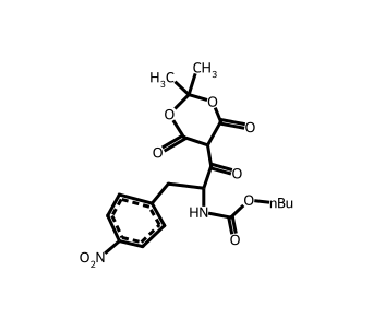 CCCCOC(=O)NC(Cc1ccc([N+](=O)[O-])cc1)C(=O)C1C(=O)OC(C)(C)OC1=O